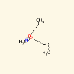 CC/C=C\CCCCCCCCOC1(OCCCCCCCC/C=C\C/C=C\CCCCC)CCN(C)CC1